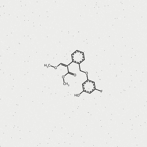 COC=C(C(=O)OC)c1ccccc1COc1cc(O)cc(F)c1